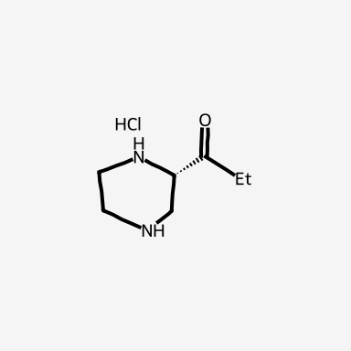 CCC(=O)[C@@H]1CNCCN1.Cl